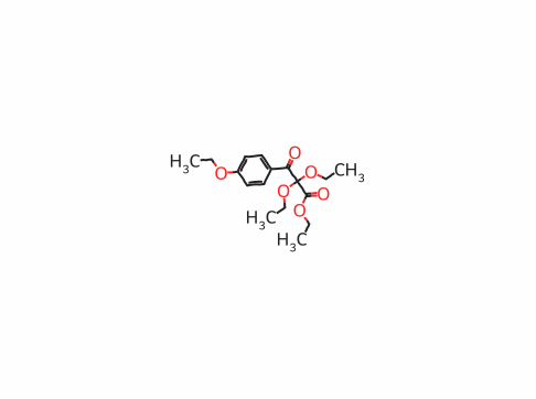 CCOC(=O)C(OCC)(OCC)C(=O)c1ccc(OCC)cc1